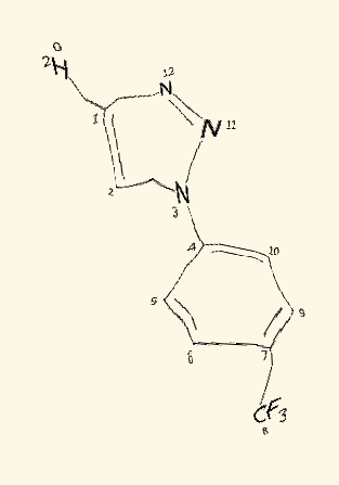 [2H]c1cn(-c2ccc(C(F)(F)F)cc2)nn1